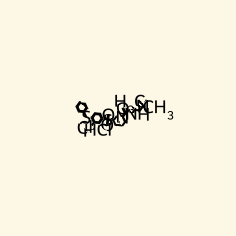 CN(C)CCNC(=O)N1CCCC(S(=O)(=O)c2ccc(Sc3ccccc3)c(Cl)c2)C1.Cl